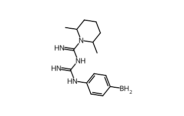 Bc1ccc(NC(=N)NC(=N)N2C(C)CCCC2C)cc1